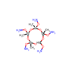 C[Si]1(ON)O[SiH](ON)O[Si](C)(ON)O[Si](C)(ON)O[Si](C)(ON)O1